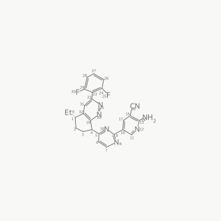 CC[C@H]1CCC(c2ccnc(-c3cnc(N)c(C#N)c3)n2)c2nnc(-c3c(F)cccc3F)cc21